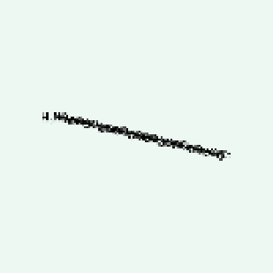 CCOCCOCCOCCOCCOCCOCCOCCOCCOCCOCCOCCOCCOCCOCCOCCOCCOCCOCCOCCOCCOCCOCCN